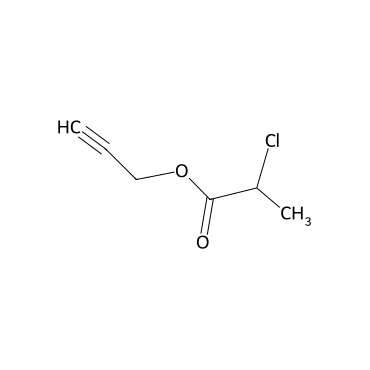 C#CCOC(=O)C(C)Cl